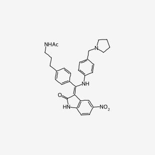 CC(=O)NCCCc1ccc(C(Nc2ccc(CN3CCCC3)cc2)=C2C(=O)Nc3ccc([N+](=O)[O-])cc32)cc1